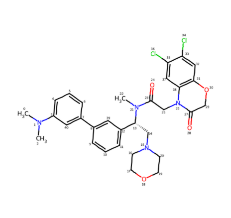 CN(C)c1cccc(-c2cccc([C@@H](CN3CCOCC3)N(C)C(=O)CN3C(=O)COc4cc(Cl)c(Cl)cc43)c2)c1